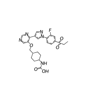 CCS(=O)(=O)c1ccc(-n2cc(-c3ncncc3OCC3CCC(NC(=O)O)CC3)cn2)c(F)c1